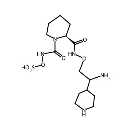 NC(CONC(=O)[C@@H]1CCCCN1C(=O)NOS(=O)(=O)O)C1CCNCC1